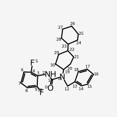 O=C(Nc1c(F)cccc1F)N(Cc1ccccc1)C1CCC(C2CCCCC2)CC1